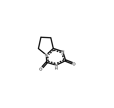 O=c1nc2n(c(=O)[nH]1)CCC2